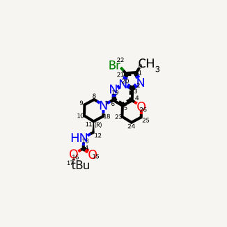 Cc1nc2c3c(c(N4CCC[C@H](CNC(=O)OC(C)(C)C)C4)nn2c1Br)CCCO3